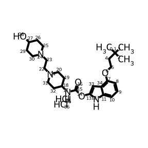 CC(C)(C)CCOc1cccc2[nH]c(OC(=O)NC3CCN(CCN4CCC(O)CC4)CC3)cc12.Cl.Cl